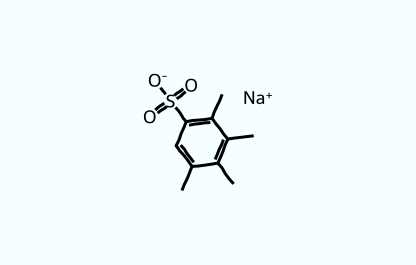 Cc1cc(S(=O)(=O)[O-])c(C)c(C)c1C.[Na+]